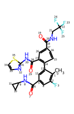 Cc1c(F)cc(C(=O)NC2CC2)cc1-c1ccc(C(=O)NCC(F)(F)F)cc1C(=O)Nc1nccs1